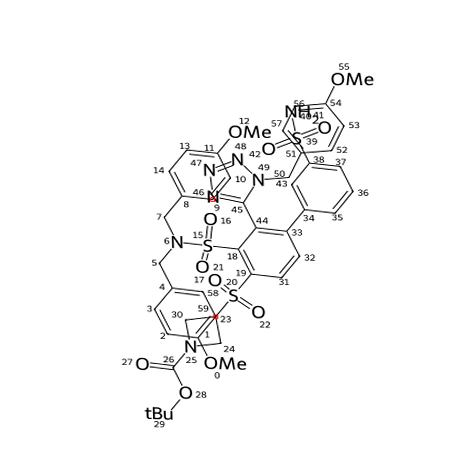 COc1ccc(CN(Cc2ccc(OC)cc2)S(=O)(=O)c2c(S(=O)(=O)C3CN(C(=O)OC(C)(C)C)C3)ccc(-c3cccc(S(N)(=O)=O)c3)c2-c2nnnn2Cc2ccc(OC)cc2)cc1